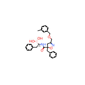 Cc1cccc(COCC2=NOC(Cc3ccccc3)(C(=O)N[C@@H](Cc3ccccc3)B(O)O)C2)c1